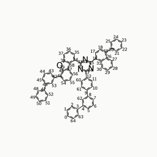 c1ccc(-c2cccc(-c3ccc(-c4nc(-c5ccc(-c6ccccc6)c6ccccc56)nc(-c5cccc6oc7c(-c8cccc(-c9ccccc9)c8)cccc7c56)n4)cc3)c2)cc1